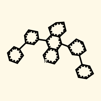 c1ccc(-c2cccc(-c3c4ccccc4c(-c4cccc(-c5ccccc5)c4)c4cnccc34)c2)cc1